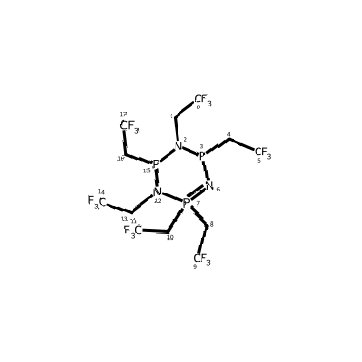 FC(F)(F)CN1P(CC(F)(F)F)N=P(CC(F)(F)F)(CC(F)(F)F)N(CC(F)(F)F)P1CC(F)(F)F